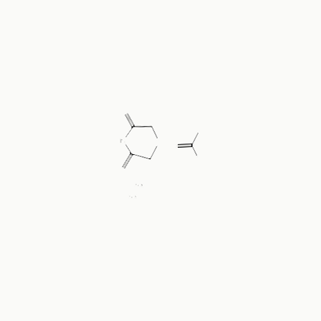 O=C([O-])[O-].O=C1COCC(=O)N1.[Na+].[Na+]